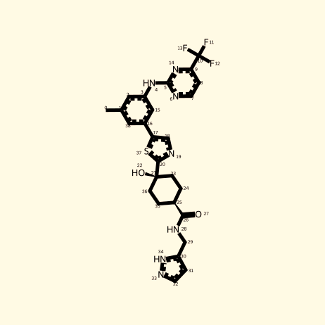 Cc1cc(Nc2nccc(C(F)(F)F)n2)cc(-c2cnc([C@]3(O)CC[C@@H](C(=O)NCc4ccn[nH]4)CC3)s2)c1